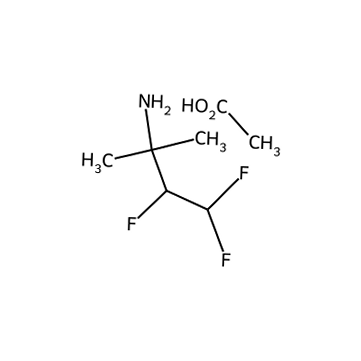 CC(=O)O.CC(C)(N)C(F)C(F)F